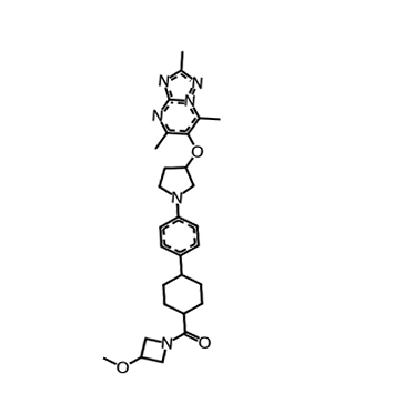 COC1CN(C(=O)C2CCC(c3ccc(N4CCC(Oc5c(C)nc6nc(C)nn6c5C)C4)cc3)CC2)C1